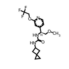 COC[C@@H](NC(=O)NC1CC2(CC2)C1)c1ccnc(OCC(F)(F)F)c1